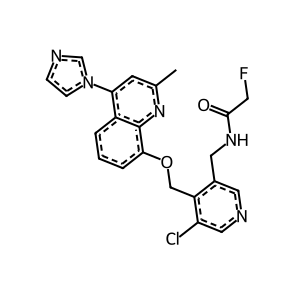 Cc1cc(-n2ccnc2)c2cccc(OCc3c(Cl)cncc3CNC(=O)CF)c2n1